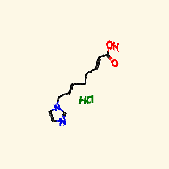 Cl.O=C(O)C=CCCCCCn1ccnc1